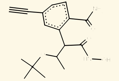 C#Cc1ccc(C(N)=O)c(C(C(=O)NO)C(C)OC(C)(C)C)c1